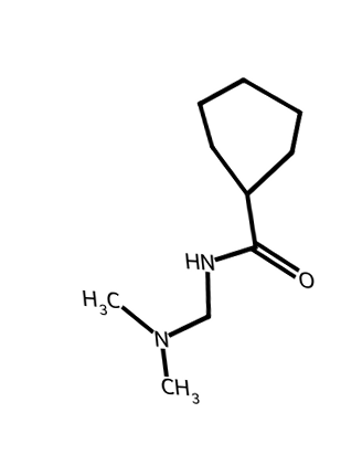 CN(C)CNC(=O)C1CCCCC1